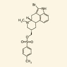 Cc1ccc(S(=O)(=O)OC[C@@H]2CC3c4cccc5[nH]c(Br)c(c45)C[C@H]3N(C)C2)cc1